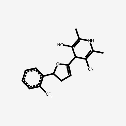 CC1=C(C#N)C(C2=CCC(c3ccccc3C(F)(F)F)O2)C(C#N)=C(C)N1